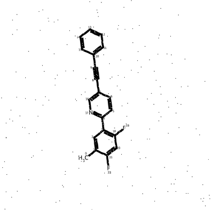 Cc1cc(-c2ccc(C#Cc3ccccc3)cn2)c(F)cc1F